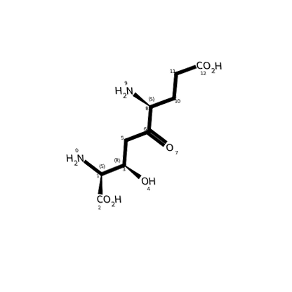 N[C@H](C(=O)O)[C@H](O)CC(=O)[C@@H](N)CCC(=O)O